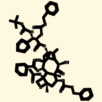 CC(=O)O[C@@]12CO[C@@H]1C[C@H](OC(=O)OCc1ccccc1)[C@@]1(C)C(=O)[C@H](O)C3=C(C)[C@@H](OC(=O)[C@H](OC(=O)OCc4ccccc4)[C@@H](NC(=O)OC(C)(C)C)c4ccccc4)C[C@@](O)([C@@H](OC(=O)c4ccccc4)C12)C3(C)C